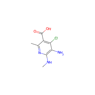 CNc1nc(C)c(C(=O)O)c(Cl)c1N